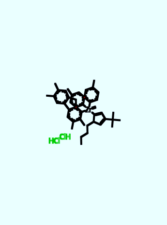 Cl.Cl.[CH2]=[Zr]([C]1=CC(C(C)(C)C)=CC1CCCC)([c]1ccc(C)cc1)([c]1ccc(C)cc1)[c]1c(C)c(C)cc2c1Cc1cc(C)c(C)cc1-2